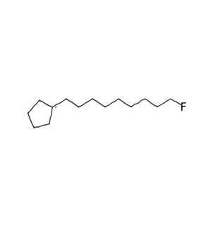 FCCCCCCCCC[C]1CCCC1